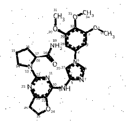 COc1cc(-n2cnc(Nc3nc(N4CCC[C@H]4C(N)=O)nc4c3OCC4)c2)cc(OC)c1OC